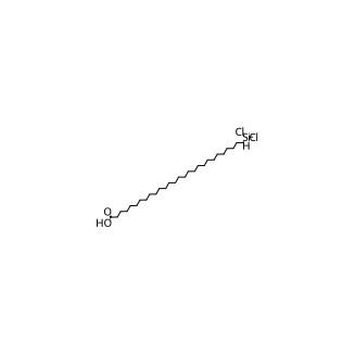 O=C(O)CCCCCCCCCCCCCCCCCCCCCCCCCCC[SiH](Cl)Cl